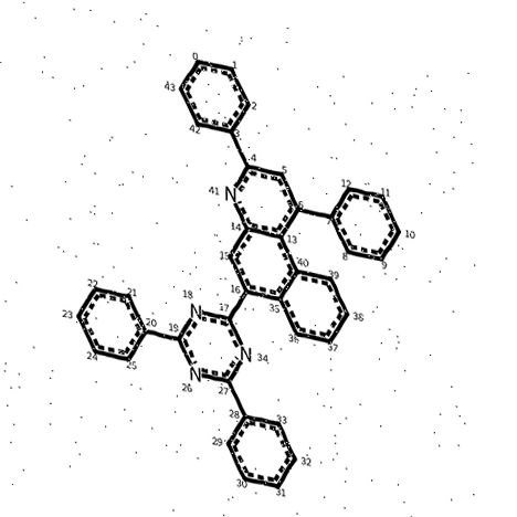 c1ccc(-c2cc(-c3ccccc3)c3c(cc(-c4nc(-c5ccccc5)nc(-c5ccccc5)n4)c4ccccc43)n2)cc1